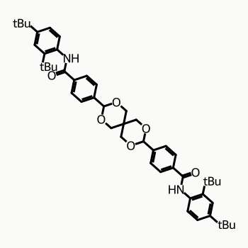 CC(C)(C)c1ccc(NC(=O)c2ccc(C3OCC4(CO3)COC(c3ccc(C(=O)Nc5ccc(C(C)(C)C)cc5C(C)(C)C)cc3)OC4)cc2)c(C(C)(C)C)c1